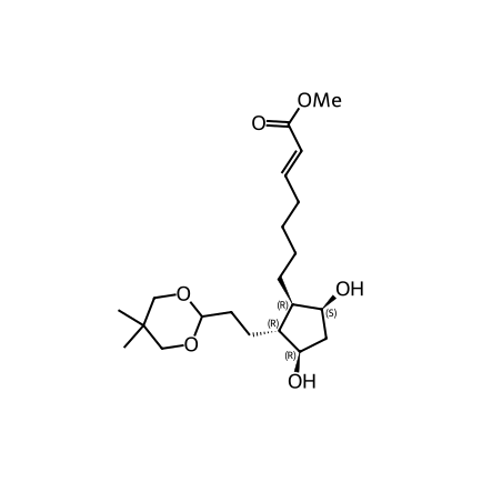 COC(=O)C=CCCCC[C@@H]1[C@@H](CCC2OCC(C)(C)CO2)[C@H](O)C[C@@H]1O